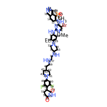 CCc1cc(Nc2ncc(Br)c(Nc3ccc4cnncc4c3P(C)(C)=O)n2)c(OC)cc1N1CCC(NCCNCCC2CCN(c3cc(F)c(C4CCC(=O)NC4=O)c(F)c3)CC2)CC1